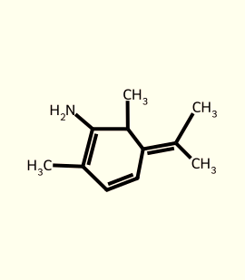 CC(C)=C1C=CC(C)=C(N)C1C